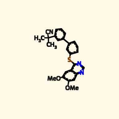 COc1cc2ncnc(Sc3cccc(-c4cccc(C(C)(C)C#N)c4)c3)c2cc1OC